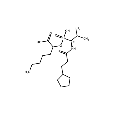 CC(C)[C@@H](NC(=O)CCC1CCCC1)P(=O)(O)OC(CCCCN)C(=O)O